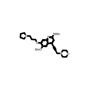 CNc1cc(C#CCN2CCOCC2)c2cc(OC)c(OCCCN3CCCC3)cc2n1